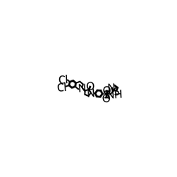 O=C1C(N2CCc3cc(Cl)c(Cl)cc3C2)CCN1c1ccc(S(=O)(=O)Nc2nccs2)cc1